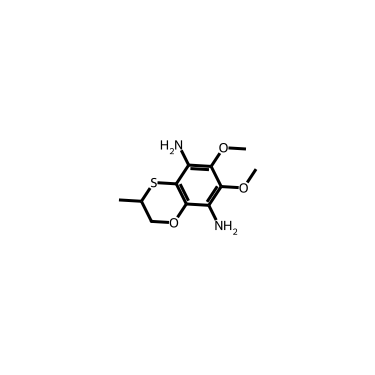 COc1c(N)c2c(c(N)c1OC)SC(C)CO2